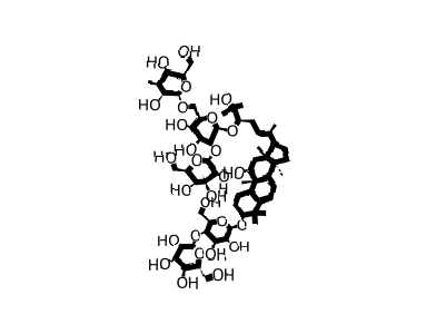 C[C@@H]1[C@@H](O)[C@@H](OC[C@H]2O[C@@H](O[C@H](CC[C@@H](C)C3CC[C@@]4(C)C5CC=C6C(CC[C@H](O[C@@H]7O[C@H](CO)[C@@H](O[C@H]8O[C@H](CO)[C@@H](O)[C@H](O)[C@H]8O)[C@H](O)[C@H]7O)C6(C)C)[C@]5(C)[C@H](O)C[C@]34C)C(C)(C)O)[C@H](O[C@@H]3O[C@H](CO)[C@@H](O)[C@H](O)[C@H]3O)[C@@H](O)[C@@H]2O)O[C@H](CO)[C@H]1O